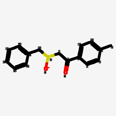 Cc1ccc(C(=O)C[S+]([O-])Cc2ccccc2)cc1